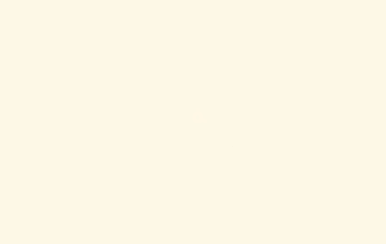 CC1CCC(COCC2(C)CCC(C)CC2)CC1